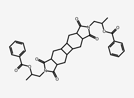 CC(CN1C(=O)C2CC3C(CC2C1=O)C1CC2C(=O)N(CC(C)OC(=O)c4ccccc4)C(=O)C2CC31)OC(=O)c1ccccc1